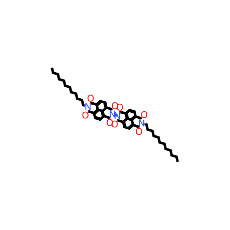 CCCCCCCCCCCCN1C(=O)c2ccc3c4c(ccc(c24)C1=O)C(=O)N(N1C(=O)c2ccc4c5c(ccc(c25)C1=O)C(=O)N(CCCCCCCCCCCC)C4=O)C3=O